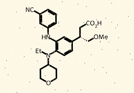 CCN(c1ccc([C@@H](COC)CC(=O)O)cc1Nc1cccc(C#N)c1)C1CCOCC1